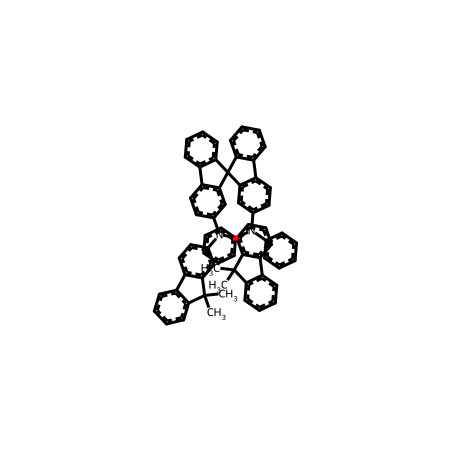 CC1(C)c2ccccc2-c2ccc(N(c3ccc4c(c3)C3(c5ccccc5-c5ccc(N(c6ccccc6)c6ccccc6)cc53)c3ccccc3-4)c3cccc4c3C(C)(C)c3ccccc3-4)cc21